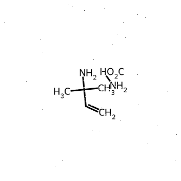 C=CC(C)(C)N.NC(=O)O